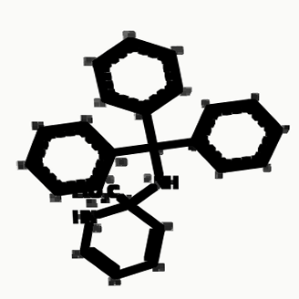 CCOC(=O)C1(NC(c2ccccc2)(c2ccccc2)c2ccccc2)C=CC=CN1